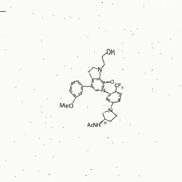 COc1cccc(-c2cn(-c3cc(N4CC[C@@H](NC(C)=O)C4)ccc3C(F)(F)F)c(=O)c3c2CCN3CCO)c1